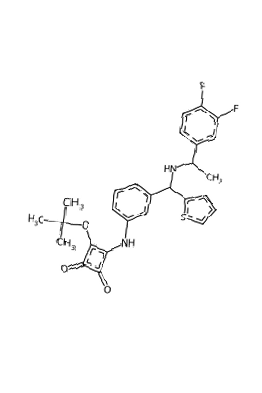 CC(NC(c1cccc(Nc2c(OC(C)(C)C)c(=O)c2=O)c1)c1cccs1)c1ccc(F)c(F)c1